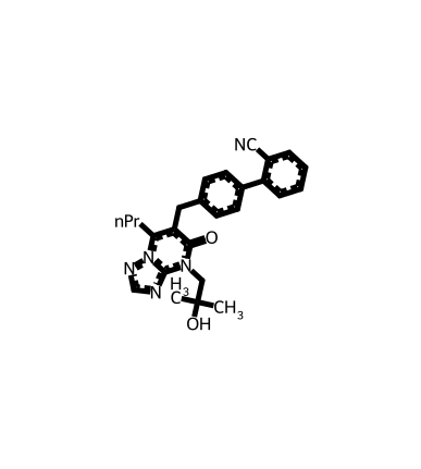 CCCc1c(Cc2ccc(-c3ccccc3C#N)cc2)c(=O)n(CC(C)(C)O)c2ncnn12